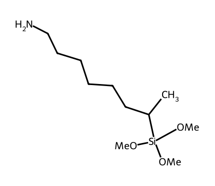 CO[Si](OC)(OC)C(C)CCCCCCN